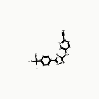 N#Cc1ccc(Nc2nnc(-c3ccc(C(F)(F)F)cc3)o2)cn1